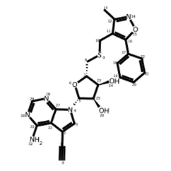 C#Cc1cn([C@@H]2O[C@H](CSCc3c(C)noc3-c3ccccc3)[C@@H](O)[C@H]2O)c2ncnc(N)c12